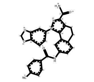 N#Cc1ccc(C(=O)Nc2ccc3c(c2)-c2c(c(C(N)=O)nn2-c2ccc4c(c2)OCO4)CC3)cc1